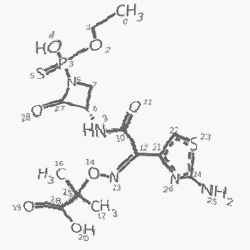 CCOP(O)(=S)N1C[C@H](NC(=O)C(=NOC(C)(C)C(=O)O)c2csc(N)n2)C1=O